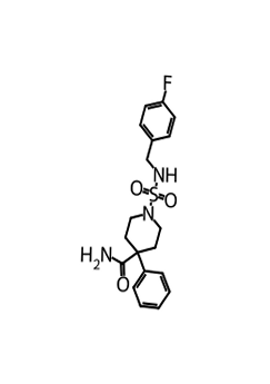 NC(=O)C1(c2ccccc2)CCN(S(=O)(=O)NCc2ccc(F)cc2)CC1